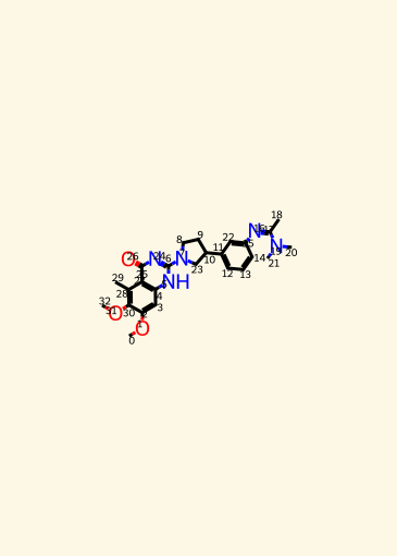 COc1cc2[nH]c(N3CCC(c4cccc(N=C(C)N(C)C)c4)C3)nc(=O)c2c(C)c1OC